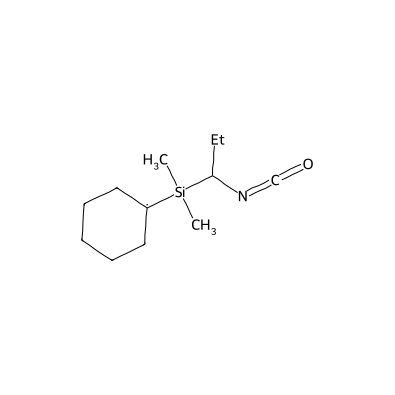 CCC(N=C=O)[Si](C)(C)[C]1CCCCC1